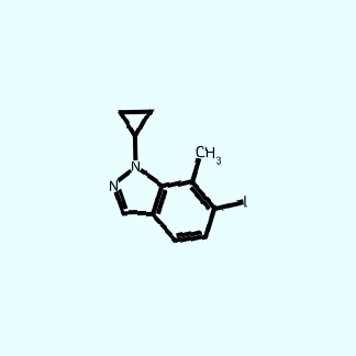 Cc1c(I)ccc2cnn(C3CC3)c12